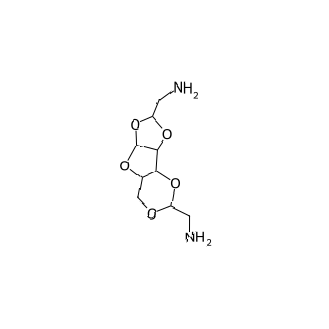 NCC1OCC2OC3OC(CN)OC3C2O1